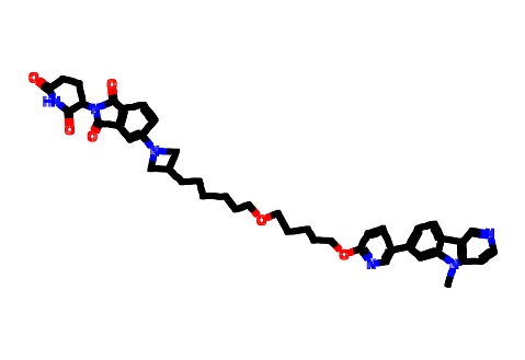 Cn1c2ccncc2c2ccc(-c3ccc(OCCCCCOCCCCCCC4CN(c5ccc6c(c5)C(=O)N(C5CCC(=O)NC5=O)C6=O)C4)nc3)cc21